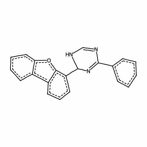 C1=NC(c2ccccc2)=NC(c2cccc3c2oc2ccccc23)N1